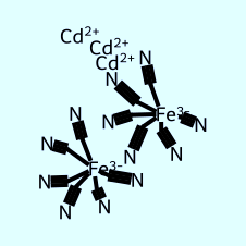 N#[C][Fe-3]([C]#N)([C]#N)([C]#N)([C]#N)[C]#N.N#[C][Fe-3]([C]#N)([C]#N)([C]#N)([C]#N)[C]#N.[Cd+2].[Cd+2].[Cd+2]